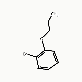 CCCOc1ccc[c]c1Br